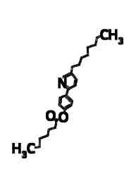 CCCCCCCCc1ccc(-c2ccc(OC(=O)CCCCCC)cc2)nc1